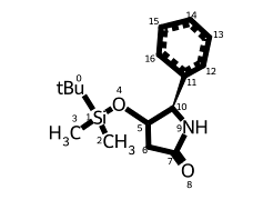 CC(C)(C)[Si](C)(C)OC1CC(=O)N[C@@H]1c1ccccc1